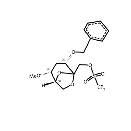 CO[C@@H]1C[C@H](OCc2ccccc2)C2(COS(=O)(=O)C(F)(F)F)OC[C@H]1O2